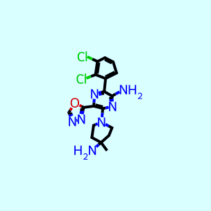 CC1(N)CCN(c2nc(N)c(-c3cccc(Cl)c3Cl)nc2-c2nnco2)CC1